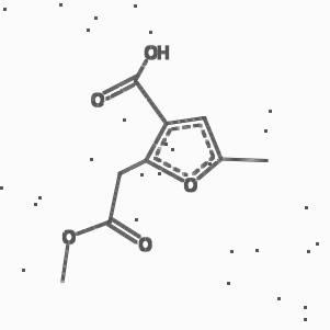 COC(=O)Cc1oc(C)cc1C(=O)O